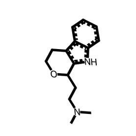 CN(C)CCC1OCCc2c1[nH]c1ccccc21